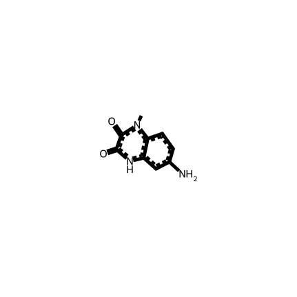 Cn1c(=O)c(=O)[nH]c2cc(N)ccc21